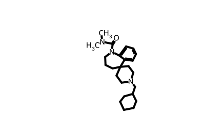 CN(C)C(=O)N1CCCC2(CCN(CC3CCCCC3)CC2)c2ccccc21